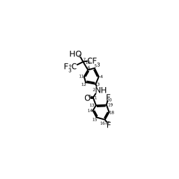 O=C(Nc1ccc(C(O)(C(F)(F)F)C(F)(F)F)cc1)c1ccc(F)cc1F